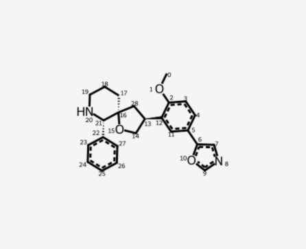 COc1ccc(-c2cnco2)cc1[C@H]1CO[C@]2(CCCN[C@H]2c2ccccc2)C1